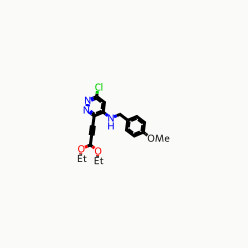 CCOC(C#Cc1nnc(Cl)cc1NCc1ccc(OC)cc1)OCC